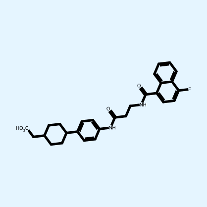 O=C(O)CC1CCC(c2ccc(NC(=O)CCNC(=O)c3ccc(F)c4ccccc34)cc2)CC1